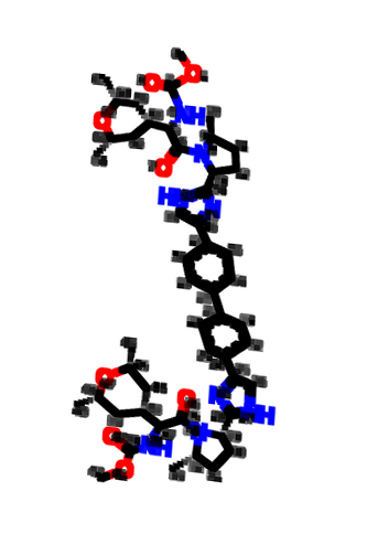 COC(=O)N[C@H](C(=O)N1[C@@H](C)CC[C@H]1c1nc(-c2ccc(-c3ccc(-c4c[nH]c([C@@H]5CC[C@H](C)N5C(=O)[C@@H](NC(=O)OC)[C@H]5C[C@@H](C)O[C@@H](C)C5)n4)cc3)cc2)c[nH]1)[C@H]1C[C@@H](C)O[C@@H](C)C1